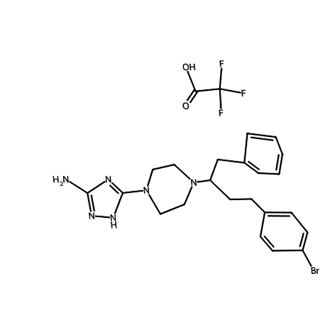 Nc1n[nH]c(N2CCN(C(CCc3ccc(Br)cc3)Cc3ccccc3)CC2)n1.O=C(O)C(F)(F)F